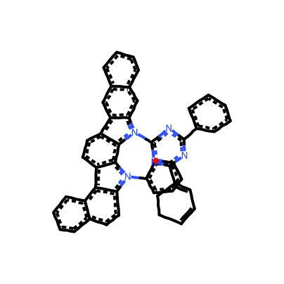 C1=CCCC(c2nc(-c3ccccc3)nc(-n3c4cc5ccccc5cc4c4ccc5c6c7ccccc7ccc6n(-c6ccccc6)c5c43)n2)=C1